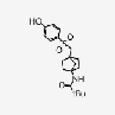 CC(C)(C)C(=O)NC12CCC(CS(=O)(=O)c3ccc(O)cc3)(CC1)C2